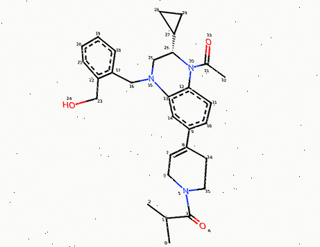 C[C](C)C(=O)N1CC=C(c2ccc3c(c2)N(Cc2ccccc2CO)C[C@H](C2CC2)N3C(C)=O)CC1